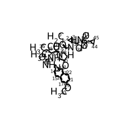 C=C[C@@H]1C[C@]1(NC(=O)[C@@H]1C[C@@H](Oc2nccc3cc(OC)ccc23)CN1C(=O)[C@@H](NC(N)=O)C(C)(C)C)C(=O)NS(=O)(=O)C1CC1